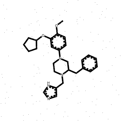 COc1ccc(N2CCN(Cc3cnc[nH]3)C(Cc3ccccc3)C2)cc1OC1CCCC1